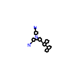 N#Cc1ccc(-n2c3ccc(C#N)cc3c3cc(-c4ccc(-c5cccc6ccccc56)c5ccccc45)ccc32)cc1